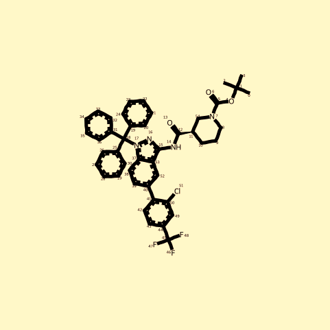 CC(C)(C)OC(=O)N1CCC[C@@H](C(=O)Nc2nn(C(c3ccccc3)(c3ccccc3)c3ccccc3)c3ccc(-c4ccc(C(F)(F)F)cc4Cl)cc23)C1